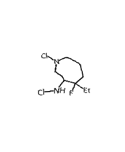 CCC1(F)CCCN(Cl)CC1NCl